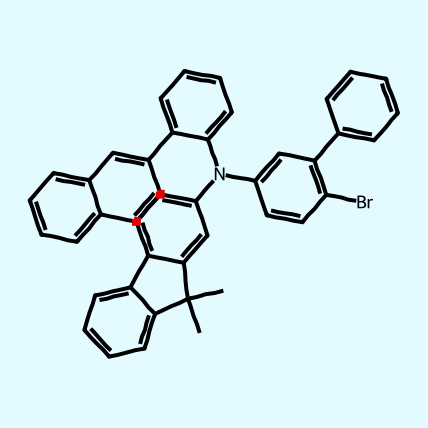 CC1(C)c2ccccc2-c2ccc(N(c3ccc(Br)c(-c4ccccc4)c3)c3ccccc3-c3ccc4ccccc4c3)cc21